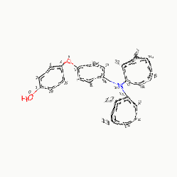 Oc1ccc(Oc2ccc(N(c3ccccc3)c3ccccc3)cc2)cc1